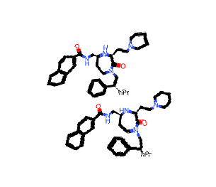 CCC[C@@H](CN1CC[C@@H](CNC(=O)c2ccc3ccccc3c2)N[C@@H](CCN2CCCCC2)C1=O)c1ccccc1.CCC[C@H](CN1CC[C@@H](CNC(=O)c2ccc3ccccc3c2)N[C@@H](CCN2CCCCC2)C1=O)c1ccccc1